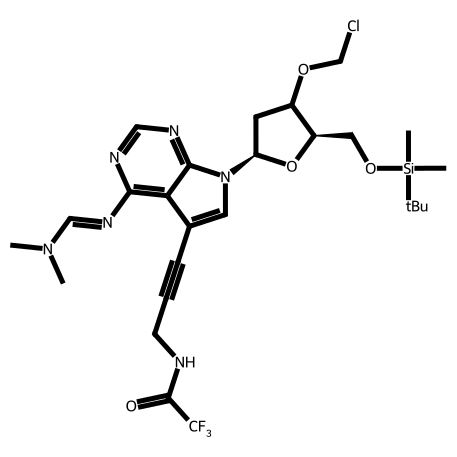 CN(C)/C=N/c1ncnc2c1c(C#CCNC(=O)C(F)(F)F)cn2[C@H]1CC(OCCl)[C@@H](CO[Si](C)(C)C(C)(C)C)O1